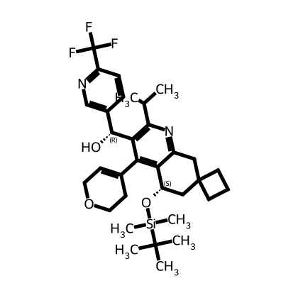 CC(C)c1nc2c(c(C3=CCOCC3)c1[C@H](O)c1ccc(C(F)(F)F)nc1)[C@@H](O[Si](C)(C)C(C)(C)C)CC1(CCC1)C2